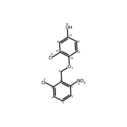 O=[N+]([O-])c1cccc(Cl)c1COc1ccc(O)cc1Cl